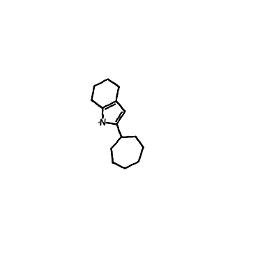 C1=C(C2CCCCCC2)[N]C2=C1CCCC2